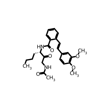 CCCC[C@H](NC(=O)c1ccccc1C=Cc1ccc(OC)c(OC)c1)C(=O)CNC(C)=O